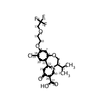 CC(C)C1COc2cc(OCCOCC(F)(F)F)c(Cl)cc2-c2cc(=O)c(C(=O)O)cn21